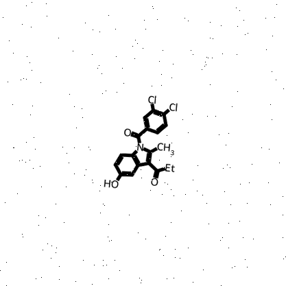 CCC(=O)c1c(C)n(C(=O)c2ccc(Cl)c(Cl)c2)c2ccc(O)cc12